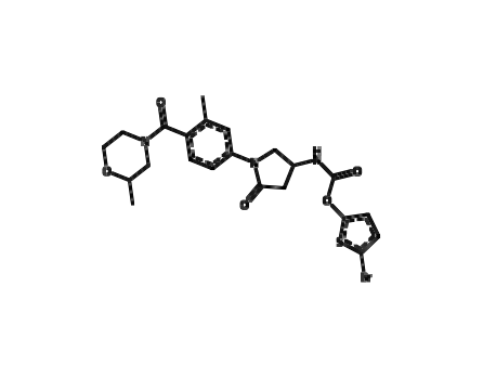 Cc1cc(N2CC(NC(=O)Oc3ccc(Br)s3)CC2=O)ccc1C(=O)N1CCOC(C)C1